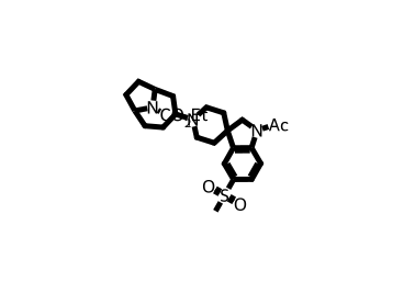 CCOC(=O)N1C2CCC(N3CCC4(CC3)CN(C(C)=O)c3ccc(S(C)(=O)=O)cc34)CC1CC2